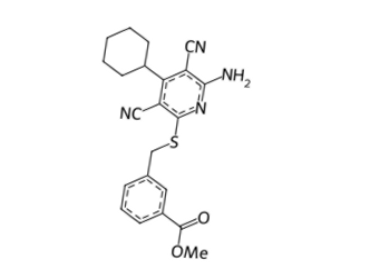 COC(=O)c1cccc(CSc2nc(N)c(C#N)c(C3CCCCC3)c2C#N)c1